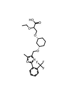 CCOC(CO[C@@H]1CCC[C@H](OCc2nc(-c3ccccc3C(F)(F)F)oc2C)C1)C(=O)O